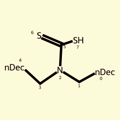 CCCCCCCCCCCN(CCCCCCCCCCC)C(=S)S